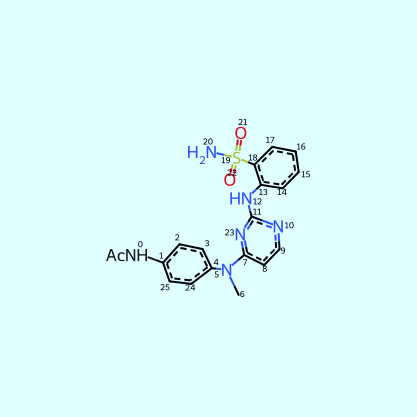 CC(=O)Nc1ccc(N(C)c2ccnc(Nc3ccccc3S(N)(=O)=O)n2)cc1